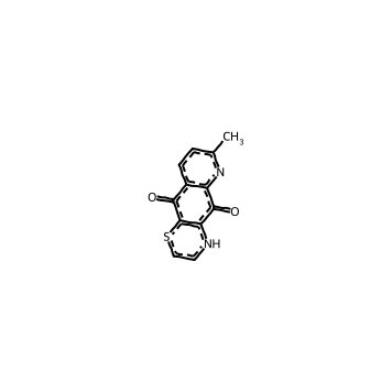 Cc1ccc2c(=O)c3scc[nH]c=3c(=O)c2n1